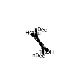 CCCCCCCCCCCCCCCCSCC(COc1ccc(C(C)(C)c2ccc(OCC(CSCCCCCCCCCCCCCCCC)OC(=O)Cc3cc(C(C)(C)C)c(O)c(C)c3C)cc2)cc1)OC(=O)Cc1cc(C(C)(C)C)c(O)c(C)c1C